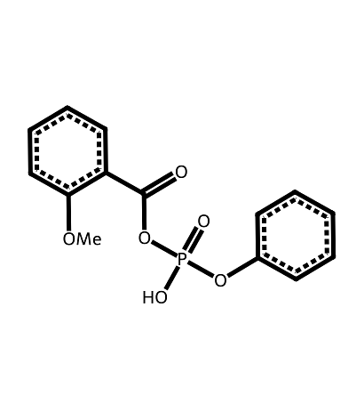 COc1ccccc1C(=O)OP(=O)(O)Oc1ccccc1